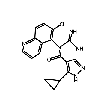 N=C(N)N(C(=O)c1cn[nH]c1C1CC1)c1c(Cl)ccc2ncccc12